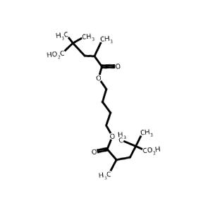 CC(CC(C)(C)C(=O)O)C(=O)OCCCCOC(=O)C(C)CC(C)(C)C(=O)O